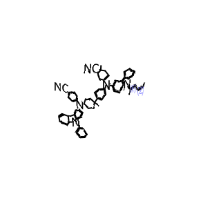 C/C=C\C=C(/C)n1c2ccccc2c2cc(N(C3=CCC(C)(C#N)CC3)c3ccc(C4(C)C=CC(N(c5ccc(C#N)cc5)c5ccc6c(c5)C5C#CC=CC5N6c5ccccc5)=CC4)cc3)ccc21